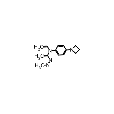 C=CN(C(=C)/N=N\C)c1ccc(N2CCC2)cc1